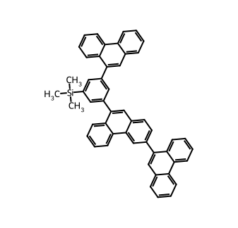 C[Si](C)(C)c1cc(-c2cc3ccccc3c3ccccc23)cc(-c2cc3ccc(-c4cc5ccccc5c5ccccc45)cc3c3ccccc23)c1